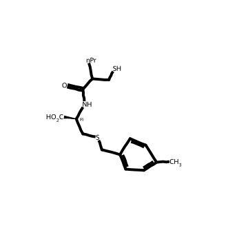 CCCC(CS)C(=O)N[C@@H](CSCc1ccc(C)cc1)C(=O)O